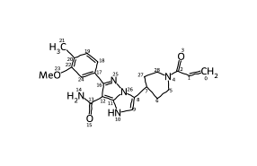 C=CC(=O)N1CCC(c2c[nH]c3c(C(N)=O)c(-c4ccc(C)c(OC)c4)nn23)CC1